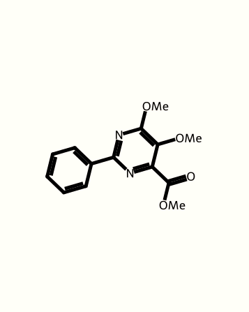 COC(=O)c1nc(-c2ccccc2)nc(OC)c1OC